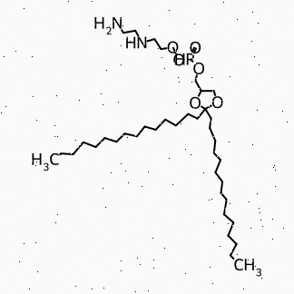 CCCCCCCCCCCCCCCC1(CCCCCCCCCCCCCCC)OCC(CO[PH](=O)OOCCNCCN)O1